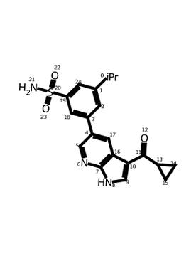 CC(C)c1cc(-c2cnc3[nH]cc(C(=O)C4CC4)c3c2)cc(S(N)(=O)=O)c1